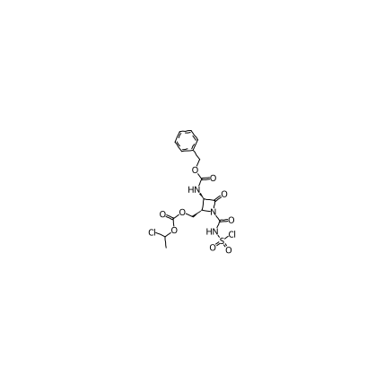 CC(Cl)OC(=O)OC[C@H]1[C@@H](NC(=O)OCc2ccccc2)C(=O)N1C(=O)NS(=O)(=O)Cl